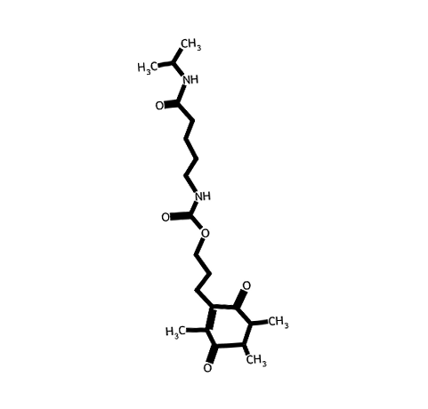 CC1=C(CCCOC(=O)NCCCCC(=O)NC(C)C)C(=O)C(C)C(C)C1=O